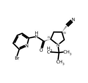 CC(C)(C)N1C[C@@H](C#N)C[C@H]1C(=O)Nc1cccc(Br)n1